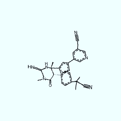 CN1C(=N)N[C@](C)(c2cc(-c3cncc(C#N)c3)cs2)[C@H](c2ccc(C(C)(C)C#N)cc2)C1=O